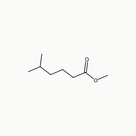 COC(=O)CCCC(C)C